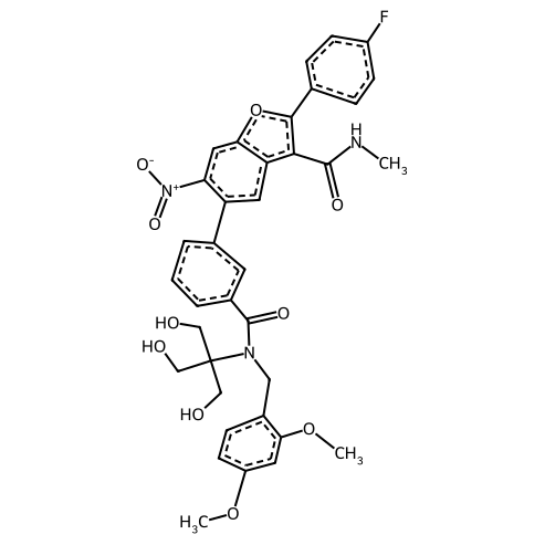 CNC(=O)c1c(-c2ccc(F)cc2)oc2cc([N+](=O)[O-])c(-c3cccc(C(=O)N(Cc4ccc(OC)cc4OC)C(CO)(CO)CO)c3)cc12